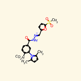 Cc1ccc(C)n1-c1cc(C(=O)N/N=C/c2ccc(S(C)(=O)=O)o2)ccc1C(=O)O